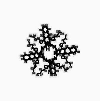 CCCCOc1c2c(c(OCCCC)c3cc4ccccc4cc13)-c1nc-2nc2[nH]c(nc3nc(nc4[nH]c(n1)c1c(OCCCC)c5cccnc5c(OCCCC)c41)-c1c-3c(OCCCC)c3cc4ccccc4cc3c1OCCCC)c1c(OCCCC)c3cc4ccccc4cc3c(OCCCC)c21